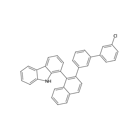 Clc1cccc(-c2cccc(-c3ccc4ccccc4c3-c3cccc4c3[nH]c3ccccc34)c2)c1